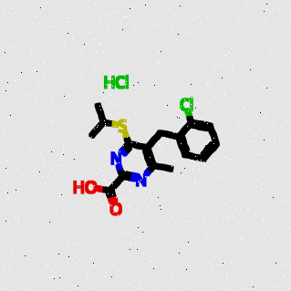 Cc1nc(C(=O)O)nc(SC(C)C)c1Cc1ccccc1Cl.Cl